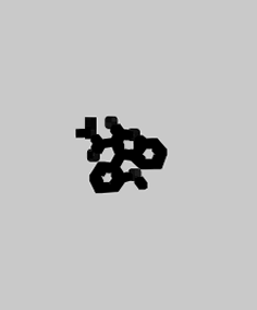 CNC(=O)c1c(-c2ccccc2OC)c2ccccc2oc1=O